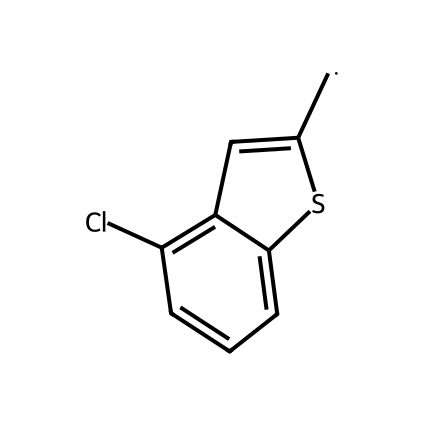 [CH2]c1cc2c(Cl)cccc2s1